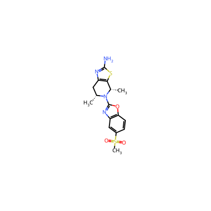 C[C@@H]1Cc2nc(N)sc2[C@H](C)N1c1nc2cc(S(C)(=O)=O)ccc2o1